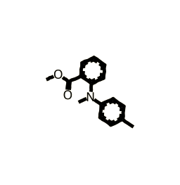 COC(=O)c1ccccc1N(C)c1ccc(C)cc1